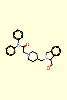 O=CC1c2ccccc2CN1CC1CCN(CC(=O)N(c2ccccc2)c2ccccc2)CC1